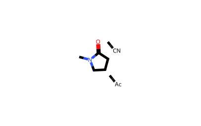 CC#N.CC(C)=O.CN1CCCC1=O